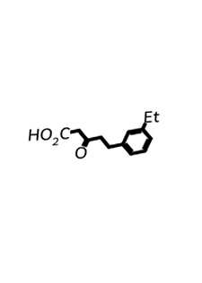 CCc1cccc(CCC(=O)CC(=O)O)c1